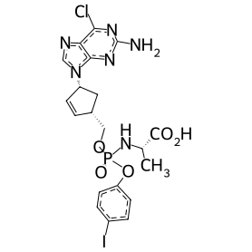 C[C@H](NP(=O)(OC[C@@H]1C=C[C@H](n2cnc3c(Cl)nc(N)nc32)C1)Oc1ccc(I)cc1)C(=O)O